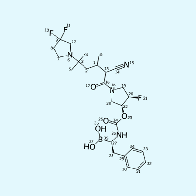 CC(CC(C)(C)N1CCC(F)(F)C1)C(C#N)C(=O)N1C[C@@H](F)[C@@H](OC(=O)N[C@@H](Cc2ccccc2)B(O)O)C1